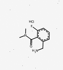 CN(C)C(=O)c1c(F)cccc1CN.Cl